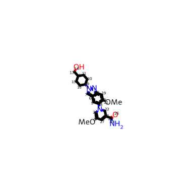 COC1=CN(c2cc3cn(C4CCC(CO)CC4)nc3cc2OC)CC(C(N)=O)=C1